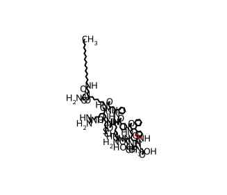 CCCCCCCCCCCCCCCCNC(=O)CN(CC(N)=O)C(=O)CCCCCNC(=O)C(Cc1c[nH]c2ccccc12)NC(=O)C(CCCNC(=N)N)NC(=O)C(CSSC)NC(=O)C(CCCNC(=N)N)NC(=O)C1CCCN(C(=O)C(NC(=O)C(Cc2c[nH]cn2)NC(=O)C(NC(=O)CNCC(=O)O)C(C)O)C(c2ccccc2)c2ccccc2)C1